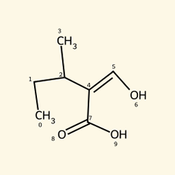 CCC(C)C(=CO)C(=O)O